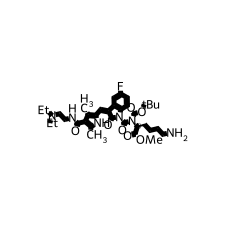 CCN(CC)CCNC(=O)c1c(C)[nH]c(C=C2C(=O)N(C(=O)N(C(=O)OC(C)(C)C)[C@@H](CCCCN)C(=O)OC)c3ccc(F)cc32)c1C